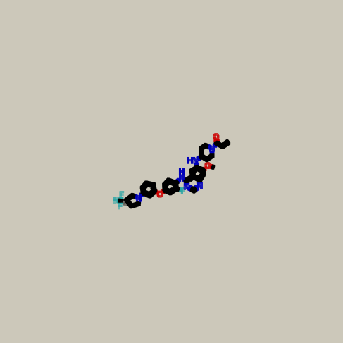 C=CC(=O)N1CCC(Nc2cc3c(Nc4ccc(Oc5cccc(N6CC[C@H](C(F)(F)F)C6)c5)cc4F)ncnc3cc2OC)CC1